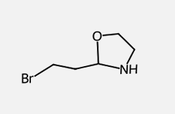 BrCCC1NCCO1